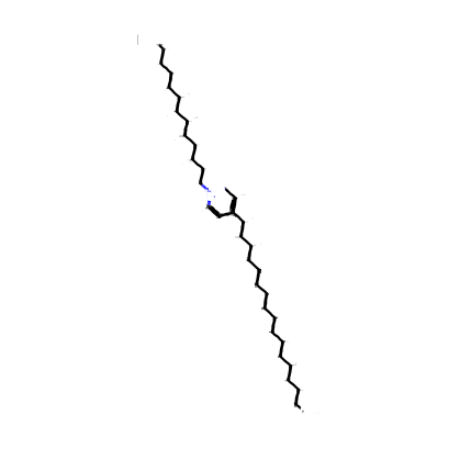 CCCCCCCCCCCCCCCCCc1cc[n+](CCCCCCCCCCCCC)cc1